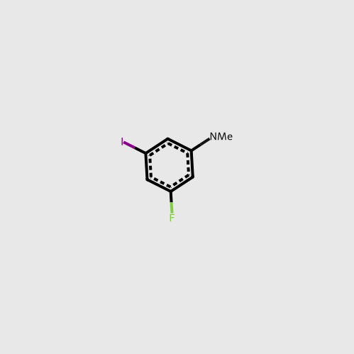 CNc1cc(F)cc(I)c1